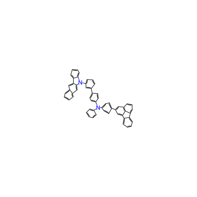 c1ccc(N(c2ccc(-c3cccc(-n4c5ccccc5c5cc6ccccc6cc54)c3)cc2)c2ccc(-c3cc4c5c(cccc5c3)-c3ccccc3-4)cc2)cc1